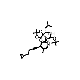 Cc1cnc(C[C@]2([C@H](CC(C)C)NC(=O)OC(C)(C)C)OC(C)(C)OC2=O)cc1C#CCCC1CC1